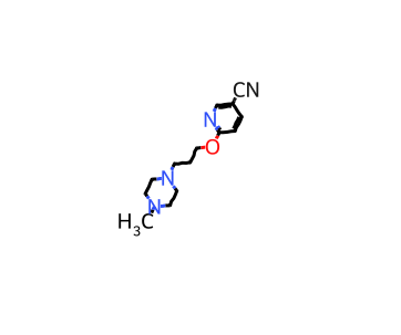 CN1CCN(CCCOc2ccc(C#N)cn2)CC1